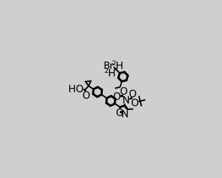 [2H]C([2H])(Br)c1cccc(C(C)OC(=O)N(C(=O)OC(C)(C)C)c2c(C)noc2-c2ccc(-c3ccc(C4(C(=O)O)CC4)cc3)cc2)c1